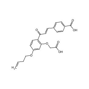 C=CCCOc1ccc(C(=O)C=Cc2ccc(C(=O)O)cc2)c(OCC(=O)O)c1